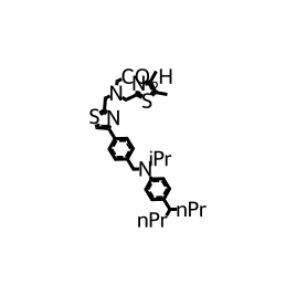 CCCC(CCC)c1ccc(N(Cc2ccc(-c3csc(CN(CC(=O)O)Cc4nc(C)c(C)s4)n3)cc2)C(C)C)cc1